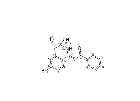 CC1(C)Cc2cc(Br)ccc2/C(=C/C(=O)c2ccccc2)N1